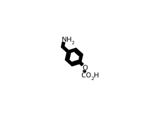 NCc1ccc(OC(=O)O)cc1